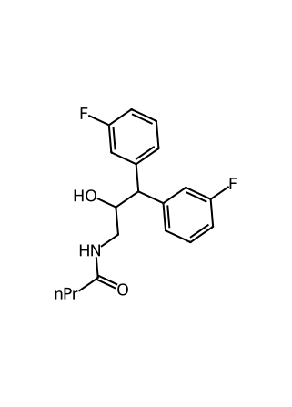 CCCC(=O)NCC(O)C(c1cccc(F)c1)c1cccc(F)c1